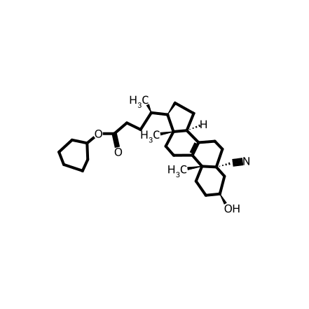 C[C@H](CCC(=O)OC1CCCCC1)[C@H]1CC[C@H]2C3=C(CC[C@]12C)[C@@]1(C)CC[C@H](O)C[C@]1(C#N)CC3